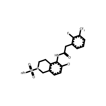 CCCS(=O)(=O)N1CCc2c(ccc(Cl)c2NC(=O)Cc2cccc(C(F)(F)F)c2F)C1